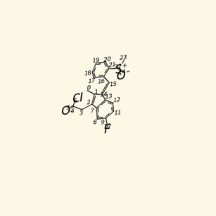 CC1=C(CC(=O)Cl)c2cc(F)ccc2C1=Cc1ccccc1[S+](C)[O-]